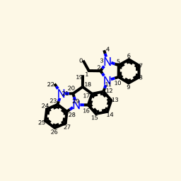 CCC1N(C)c2ccccc2N1c1cccc2c1C(C)C1N(C)c3ccccc3N21